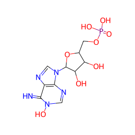 N=c1c2ncn(C3OC(COP(=O)(O)O)C(O)C3O)c2ncn1O